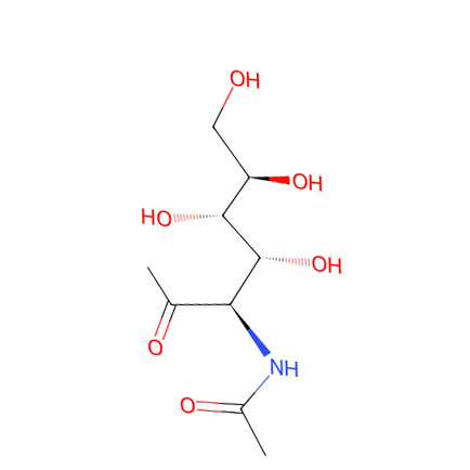 CC(=O)N[C@@H](C(C)=O)[C@@H](O)[C@H](O)[C@H](O)CO